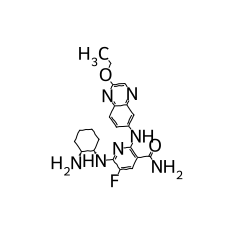 CCOc1cnc2cc(Nc3nc(N[C@@H]4CCCC[C@@H]4N)c(F)cc3C(N)=O)ccc2n1